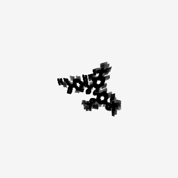 [2H]C([2H])([2H])Oc1cc(OC(F)(F)F)ccc1Oc1ccc(C(F)(F)F)c(F)c1C(=O)Nc1ccc(C(N)=O)cn1